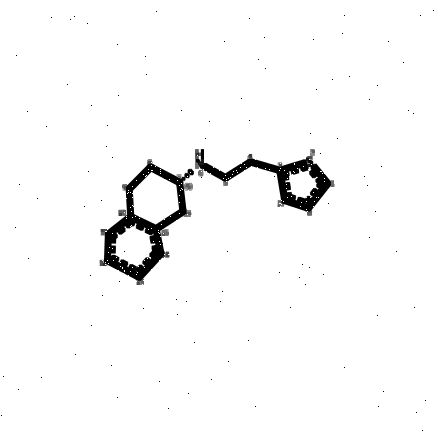 c1csc(CCN[C@H]2CCc3ccccc3C2)c1